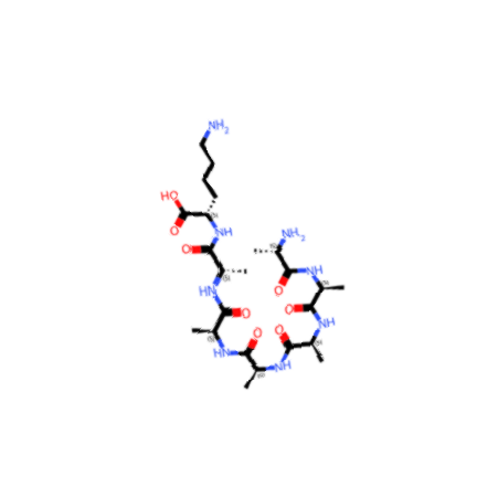 C[C@H](N)C(=O)N[C@@H](C)C(=O)N[C@@H](C)C(=O)N[C@@H](C)C(=O)N[C@@H](C)C(=O)N[C@@H](C)C(=O)N[C@@H](CCCCN)C(=O)O